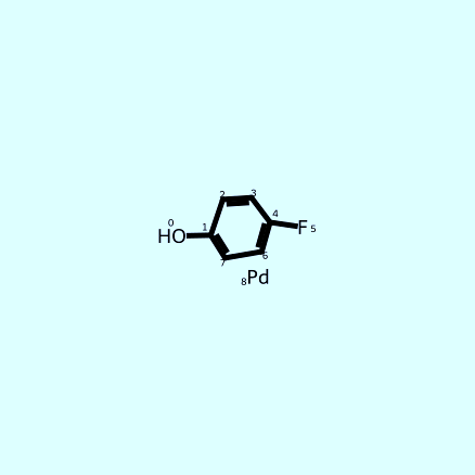 Oc1ccc(F)cc1.[Pd]